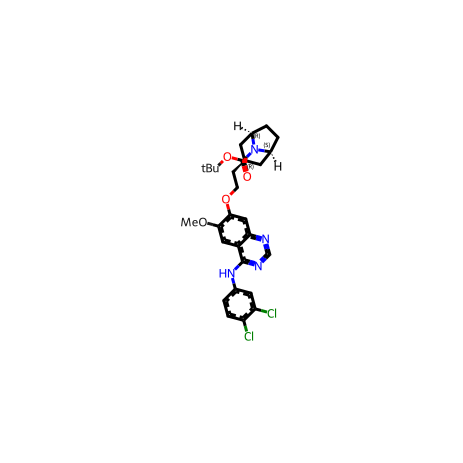 COc1cc2c(Nc3ccc(Cl)c(Cl)c3)ncnc2cc1OCC[C@H]1C[C@H]2CC[C@@H](C1)N2C(=O)OC(C)(C)C